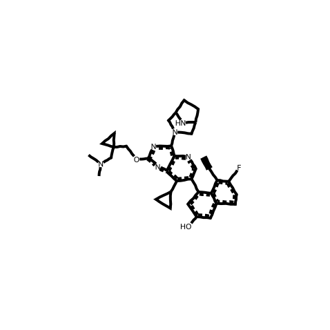 C#Cc1c(F)ccc2cc(O)cc(-c3cnc4c(N5CC6CCC(C5)N6)nc(OCC5(CN(C)C)CC5)nc4c3C3CC3)c12